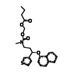 CCCC(=O)OCOC(=O)N(C)CCC(Oc1cccc2ccccc12)c1ccsc1